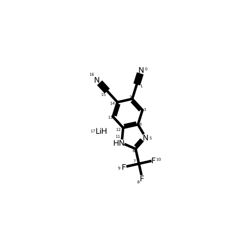 N#Cc1cc2nc(C(F)(F)F)[nH]c2cc1C#N.[LiH]